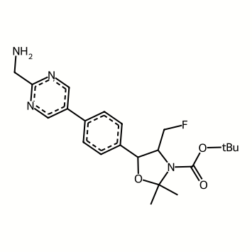 CC(C)(C)OC(=O)N1C(CF)C(c2ccc(-c3cnc(CN)nc3)cc2)OC1(C)C